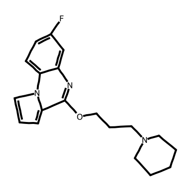 Fc1ccc2c(c1)nc(OCCCN1CCCCC1)c1cccn12